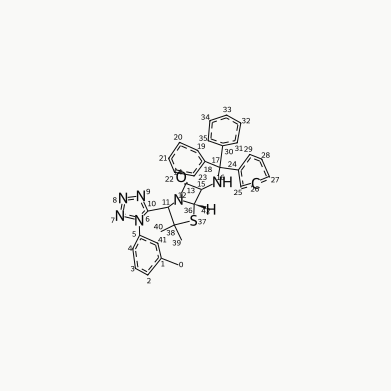 Cc1cccc(-n2nnnc2C2N3C(=O)C(NC(c4ccccc4)(c4ccccc4)c4ccccc4)[C@@H]3SC2(C)C)c1